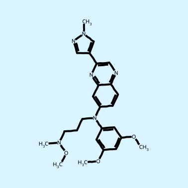 COc1cc(OC)cc(N(CCCN(C)OC)c2ccc3ncc(-c4cnn(C)c4)nc3c2)c1